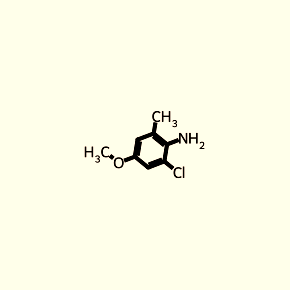 COc1cc(C)c(N)c(Cl)c1